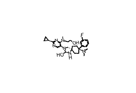 CN(CCO)c1nc(C2CC2)ncc1N1C[C@]2(CC[C@](c3cccc(F)c3)(N(C)C)CC2)NC1O